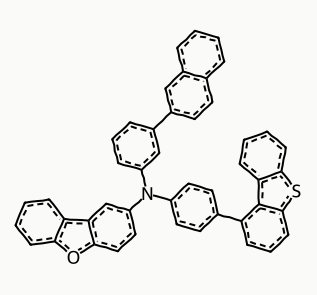 c1cc(-c2ccc3ccccc3c2)cc(N(c2ccc(-c3cccc4sc5ccccc5c34)cc2)c2ccc3oc4ccccc4c3c2)c1